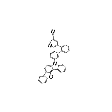 N#Cc1cncc(-c2ccccc2-c2cccc(-n3c4ccccc4c4c5oc6ccccc6c5ccc43)c2)c1